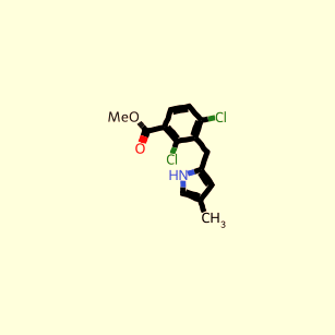 COC(=O)c1ccc(Cl)c(Cc2cc(C)c[nH]2)c1Cl